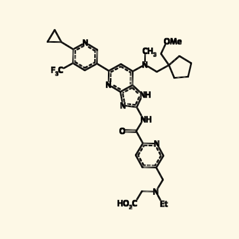 CCN(CC(=O)O)Cc1ccc(C(=O)Nc2nc3nc(-c4cnc(C5CC5)c(C(F)(F)F)c4)cc(N(C)CC4(COC)CCCC4)c3[nH]2)nc1